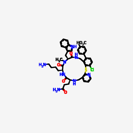 CN1C(=O)[C@H](CCCCN)NC(=O)[C@H](CCC(N)=O)NCc2cccnc2Sc2c(Cl)ccc(-c3ccc(C(=O)O)cc3)c2CNC(=O)[C@@H]1Cc1c[nH]c2ccccc12